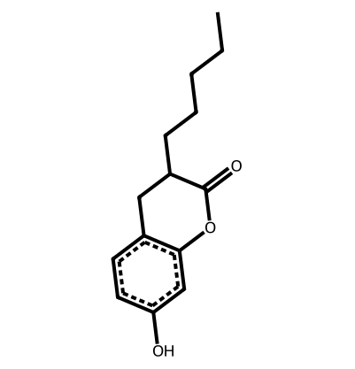 CCCCCC1Cc2ccc(O)cc2OC1=O